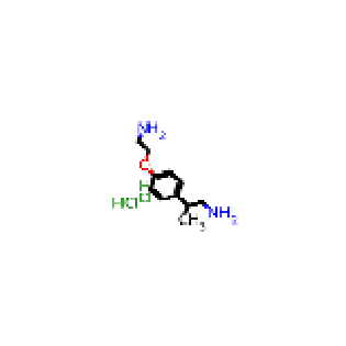 CC(CN)c1ccc(OCCN)cc1.Cl.Cl